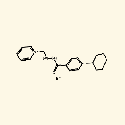 O=C(NNC[n+]1ccccc1)c1ccc(C2CCCCC2)cc1.[Br-]